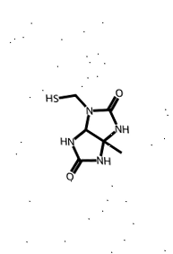 CC12NC(=O)NC1N(CS)C(=O)N2